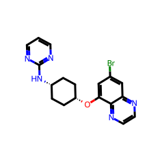 Brc1cc(O[C@H]2CC[C@@H](Nc3ncccn3)CC2)c2nccnc2c1